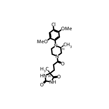 COc1cc(N2CCN(C(=O)CC[C@@]3(C)NC(=O)NC3=O)C[C@@H]2C)c(OC)cc1Cl